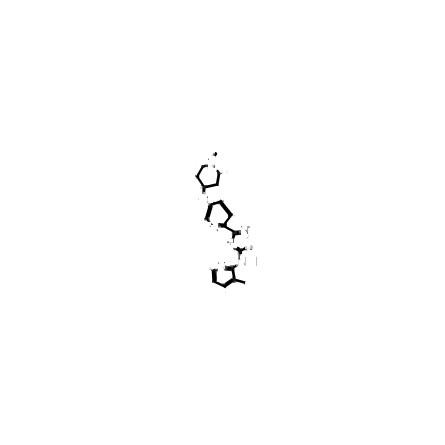 Cc1cccnc1Nc1nc(-c2ccc(OC3CCN(C)CC3)cn2)ns1